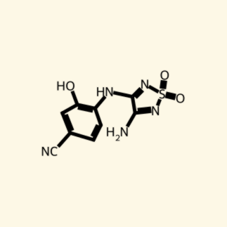 N#Cc1ccc(NC2=NS(=O)(=O)N=C2N)c(O)c1